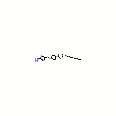 CCCCCCCCC[C@H]1CC[C@H](C2CCC(CCc3ccc(C#N)cc3)CC2)CC1